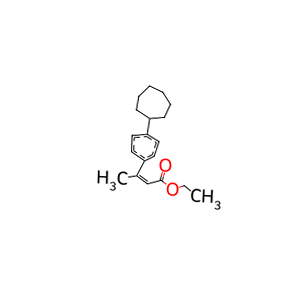 CCOC(=O)/C=C(/C)c1ccc(C2CCCCCC2)cc1